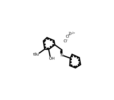 CC(C)(C)c1cccc(C=Nc2ccccc2)c1O.[Cl-].[Cl-].[Zr+2]